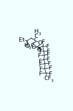 CCC(=O)CS(C)(C)OS(=O)(=O)C(F)(F)C(F)(F)C(F)(F)C(F)(F)C(F)(F)C(F)(F)C(F)(F)C(F)(F)F